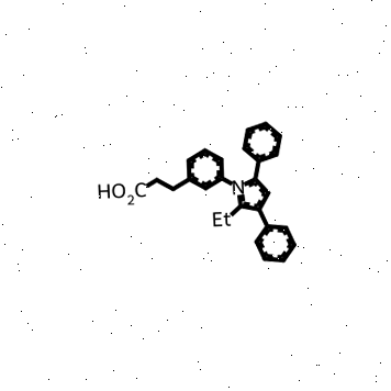 CCc1c(-c2ccccc2)cc(-c2ccccc2)n1-c1cccc(CCC(=O)O)c1